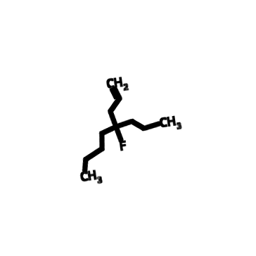 C=CCC(F)(CCC)CCCC